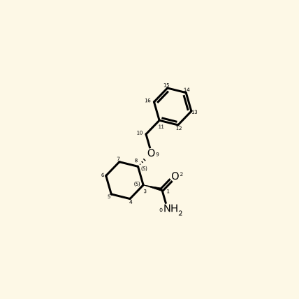 NC(=O)[C@H]1CCCC[C@@H]1OCc1ccccc1